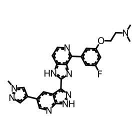 CN(C)CCOc1cc(F)cc(-c2nccc3[nH]c(-c4n[nH]c5ncc(-c6cnn(C)c6)cc45)nc23)c1